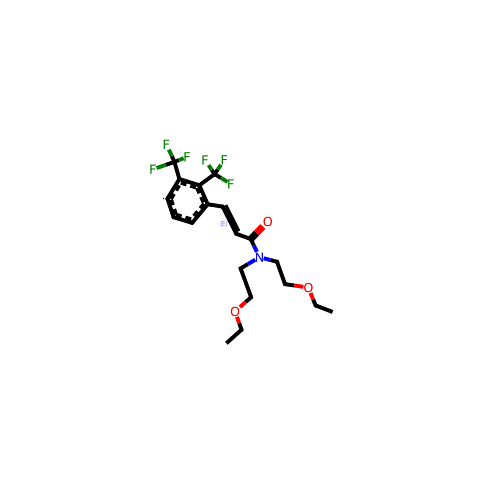 CCOCCN(CCOCC)C(=O)/C=C/c1cc[c]c(C(F)(F)F)c1C(F)(F)F